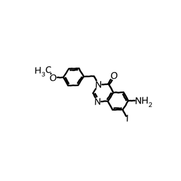 COc1ccc(Cn2cnc3cc(I)c(N)cc3c2=O)cc1